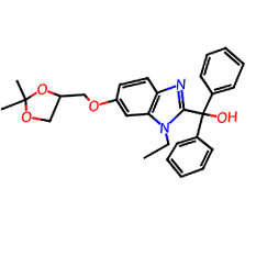 CCn1c(C(O)(c2ccccc2)c2ccccc2)nc2ccc(OCC3COC(C)(C)O3)cc21